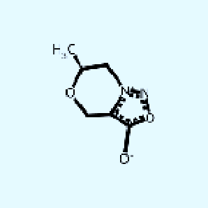 C[C@H]1C[n+]2noc([O-])c2CO1